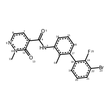 Cc1c(NC(=O)c2ccnn(C)c2=O)cccc1-c1cccc(Br)c1F